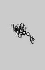 C[C@@H](Nc1c(-c2c(F)cc(OCCN3CCOCC3)cc2F)c(Cl)nc2ncnn12)C(F)(F)F